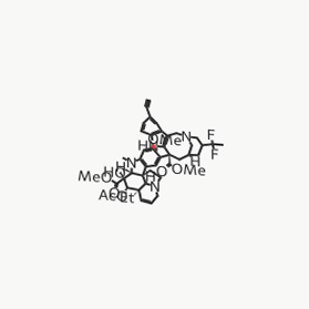 C#Cc1ccc2[nH]c3c(c2c1)CN1CC(C(C)(F)F)C[C@@H](C1)C[C@]3(C(=O)OC)c1cc2c(cc1OC)N(C)[C@H]1[C@@](O)(C(=O)OC)[C@H](OC(C)=O)[C@]3(CC)C=CCN4CC[C@]21[C@@H]43